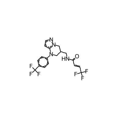 O=C(/C=C/C(F)(F)F)NCC1CN(c2ccc(C(F)(F)F)cc2)c2ccnn2C1